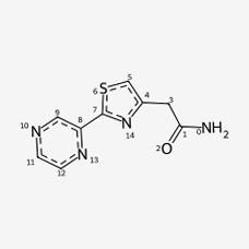 NC(=O)Cc1csc(-c2cnccn2)n1